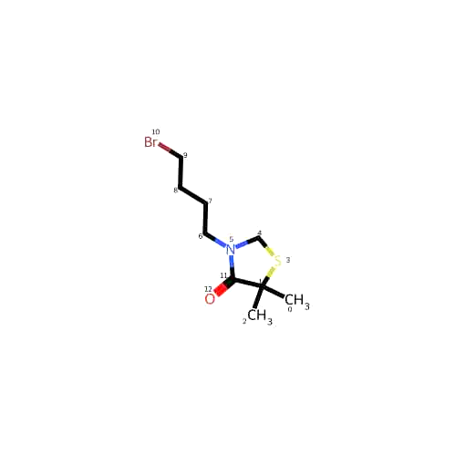 CC1(C)SCN(CCCCBr)C1=O